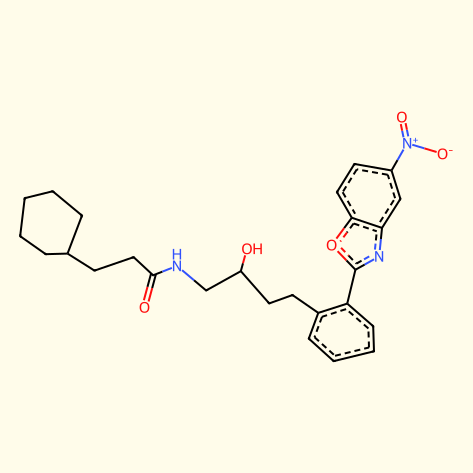 O=C(CCC1CCCCC1)NCC(O)CCc1ccccc1-c1nc2cc([N+](=O)[O-])ccc2o1